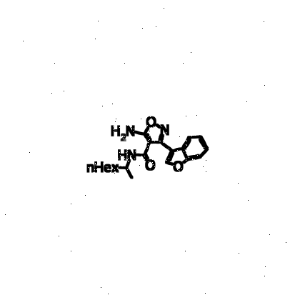 CCCCCCC(C)NC(=O)c1c(-c2coc3ccccc23)noc1N